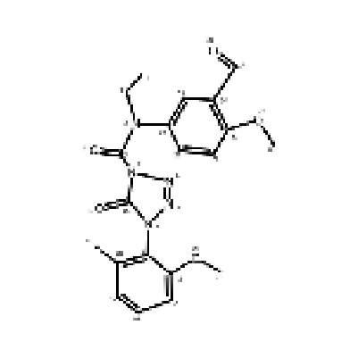 CCN(C(=O)n1nnn(-c2c(F)cccc2OC)c1=O)c1ccc(OC)c(C=O)c1